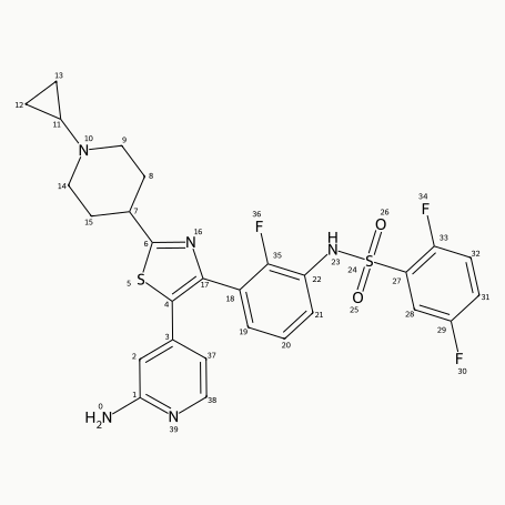 Nc1cc(-c2sc(C3CCN(C4CC4)CC3)nc2-c2cccc(NS(=O)(=O)c3cc(F)ccc3F)c2F)ccn1